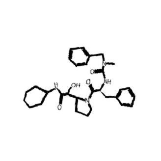 CN(Cc1ccccc1)C(=O)N[C@@H](Cc1ccccc1)C(=O)N1CCCC1C(O)C(=O)NC1CCCCC1